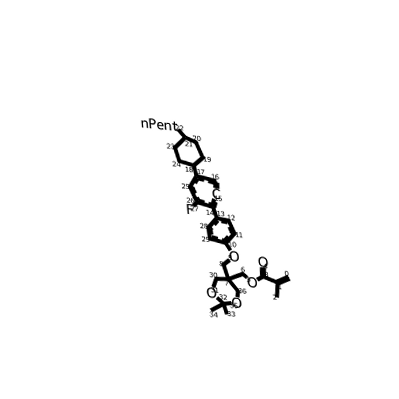 C=C(C)C(=O)OCC1(COc2ccc(-c3ccc(C4CCC(CCCCC)CC4)cc3F)cc2)COC(C)(C)OC1